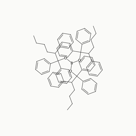 CCCCC(c1ccccc1)C(OB(OC(c1ccccc1)(c1ccccc1)C(CCCC)c1ccccc1)OC(c1ccccc1)(c1ccccc1)C(CCCC)c1ccccc1)(c1ccccc1)c1ccccc1